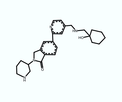 O=C1c2ccc(-c3cc(CNCC4(O)CCCCC4)ccn3)cc2CN1C1CCCNC1